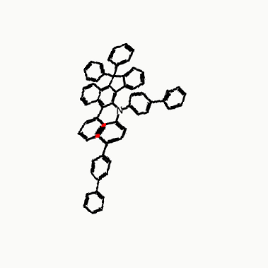 c1ccc(-c2ccc(-c3ccc(N(c4ccc(-c5ccccc5)cc4)c4c5c(c6ccccc6c4-c4ccccc4)C(c4ccccc4)(c4ccccc4)c4ccccc4-5)cc3)cc2)cc1